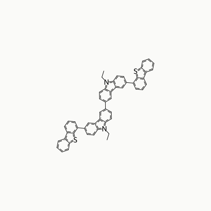 CCn1c2ccc(-c3ccc4c(c3)c3cc(-c5cccc6c5sc5ccccc56)ccc3n4CC)cc2c2cc(-c3cccc4c3sc3ccccc34)ccc21